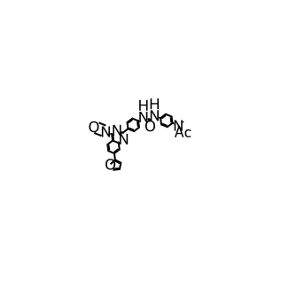 CC(=O)N(C)c1ccc(NC(=O)Nc2ccc(-c3nc(N4CCOCC4)c4ccc(-c5ccco5)cc4n3)cc2)cc1